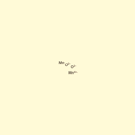 [Mn+4].[Mn].[O-2].[O-2]